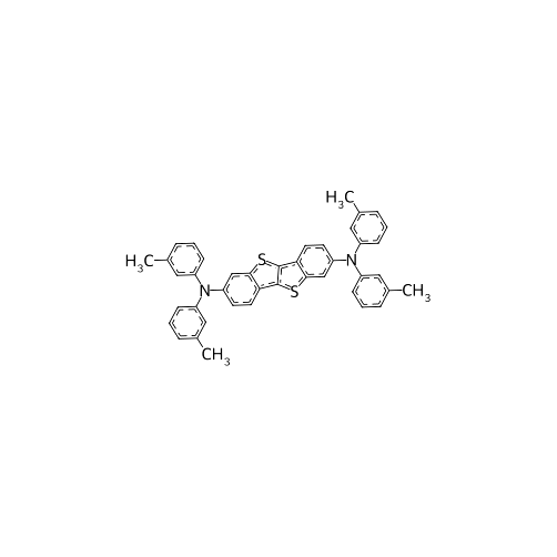 Cc1cccc(N(c2cccc(C)c2)c2ccc3c(c2)sc2c4ccc(N(c5cccc(C)c5)c5cccc(C)c5)cc4sc32)c1